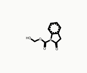 O=C1Cc2ccccc2N1C(=O)OCO